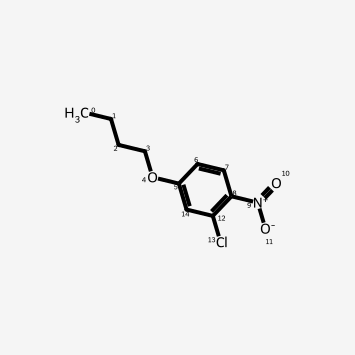 CCCCOc1ccc([N+](=O)[O-])c(Cl)c1